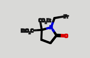 CCOC(=O)C1(C(=O)OCC)CCC(=O)N1CC(C)C